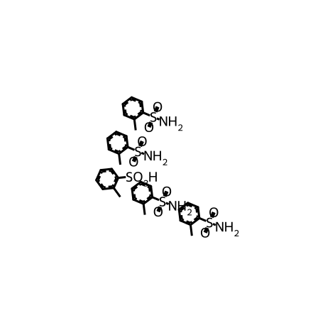 Cc1ccccc1S(=O)(=O)O.Cc1ccccc1S(N)(=O)=O.Cc1ccccc1S(N)(=O)=O.Cc1ccccc1S(N)(=O)=O.Cc1ccccc1S(N)(=O)=O